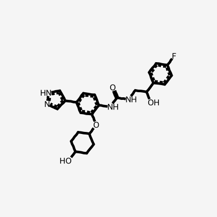 O=C(NCC(O)c1ccc(F)cc1)Nc1ccc(-c2cn[nH]c2)cc1OC1CCC(O)CC1